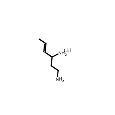 CC=CC(N)CCN.Cl